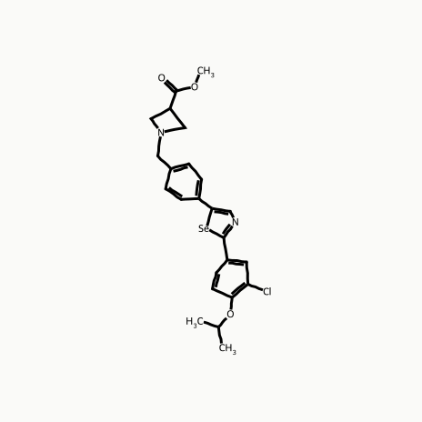 COC(=O)C1CN(Cc2ccc(-c3cnc(-c4ccc(OC(C)C)c(Cl)c4)[se]3)cc2)C1